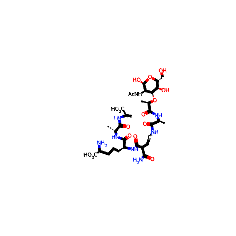 CC(=O)N[C@@H]1[C@@H](O[C@H](C)C(=O)N[C@@H](C)C(=O)NCCC(C(N)=O)C(=O)N[C@@H](CCC[C@H](N)C(=O)O)C(=O)N[C@H](C)C(=O)N[C@H](C)C(=O)O)[C@H](O)[C@@H](CO)O[C@@H]1O